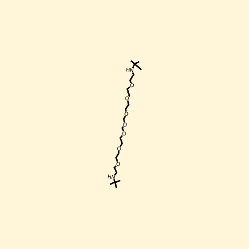 CC(C)(C)NCCOCCOCCOCOCOCCOCCOCCNC(C)(C)C